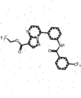 O=C(Nc1cccc(-c2ccnc3c(C(=O)OCC(F)(F)F)cnn23)c1)c1cccc(C(F)(F)F)c1